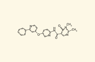 Cc1ncc(C(=O)Nc2ccc(Oc3ccnc(-c4ccccc4)c3)cn2)c(=O)n1C